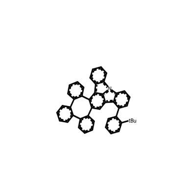 CC(C)(C)c1ccccc1-c1cccc2c1c1cc3c(c4c5ccccc5n2c14)-c1ccccc1-c1ccccc1-c1ccccc1-3